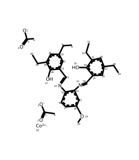 CC(=O)[O-].CC(=O)[O-].CCc1cc(C=Nc2ccc(OC)cc2N=Cc2cc(CC)cc(CC)c2O)c(O)c(CC)c1.[Co+2]